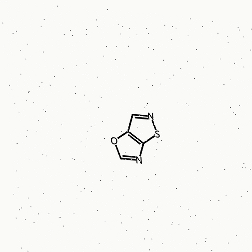 c1nc2sncc2o1